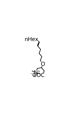 CCCCCCC=CCCCCOC(CC(=O)[O-])C[N+](C)(C)C